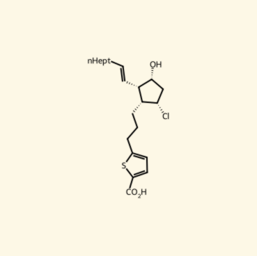 CCCCCCCC=C[C@H]1[C@@H](CCCc2ccc(C(=O)O)s2)[C@@H](Cl)C[C@H]1O